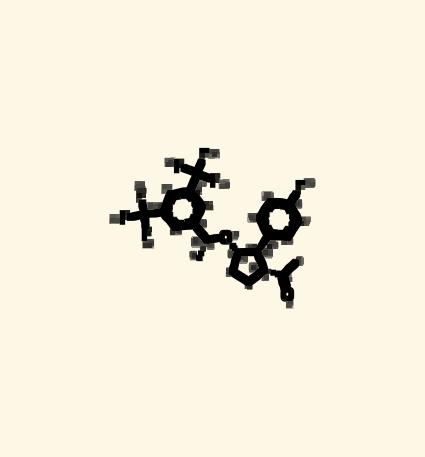 CC(=O)[C@@H]1CC[C@H](O[C@H](C)c2cc(C(F)(F)F)cc(C(F)(F)F)c2)[C@H]1c1ccc(F)cc1